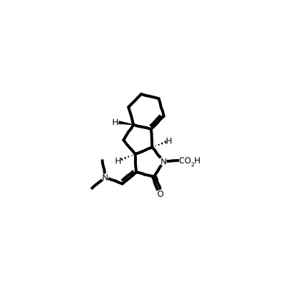 CN(C)/C=C1/C(=O)N(C(=O)O)[C@@H]2C3=CCCC[C@H]3C[C@H]12